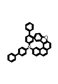 c1ccc(-c2ccc(N(c3ccc(-c4ccccc4)cc3)c3ccc4ccc5ccc6oc7ccccc7c6c5c4c3)cc2)cc1